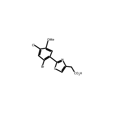 COc1cc(-c2nc(CC(=O)O)cs2)c(Br)cc1Cl